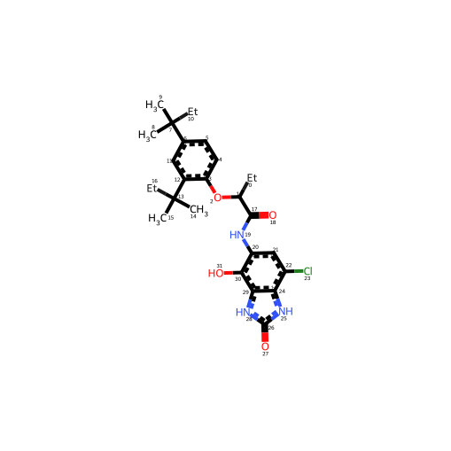 CCC(Oc1ccc(C(C)(C)CC)cc1C(C)(C)CC)C(=O)Nc1cc(Cl)c2[nH]c(=O)[nH]c2c1O